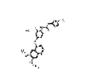 COc1cc2nccc(Oc3ccc(NC(=O)Nc4nc(C)cs4)c(F)c3)c2cc1OC.Cl